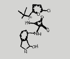 CC(C)(C)[C@@H](Nc1c(Nc2cccc3c2C(O)NC3)c(=O)c1=O)c1ccc(Cl)o1